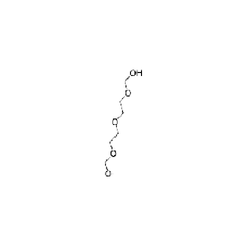 [O]COCCOCCOCO